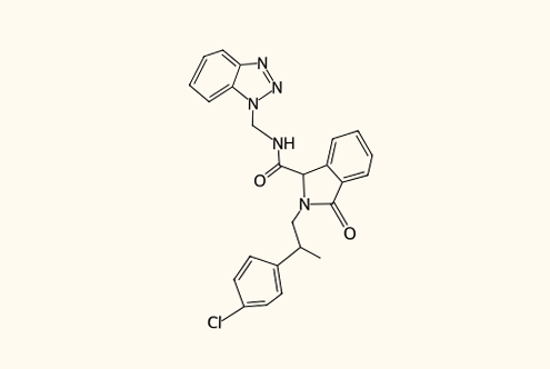 CC(CN1C(=O)c2ccccc2C1C(=O)NCn1nnc2ccccc21)c1ccc(Cl)cc1